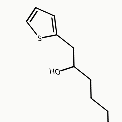 OCCCC(O)Cc1cccs1